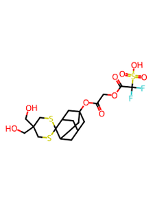 O=C(COC(=O)C(F)(F)S(=O)(=O)O)OC12CC3CC(C1)C1(SCC(CO)(CO)CS1)C(C3)C2